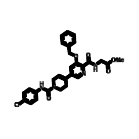 COC(=O)CNC(=O)c1ncc(C2=CCN(C(=O)Nc3ccc(Cl)cc3)CC2)cc1OCc1ccccc1